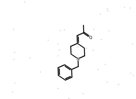 CC(=O)C=C1CCN(Cc2ccccc2)CC1